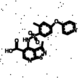 Cc1cc(Oc2ccncc2)ccc1S(=O)(=O)Nc1c(C(=O)O)cnc2snc(C)c12